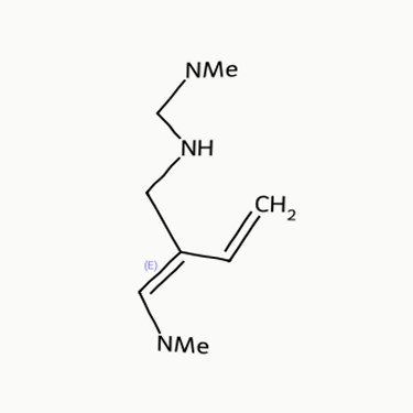 C=C/C(=C\NC)CNCNC